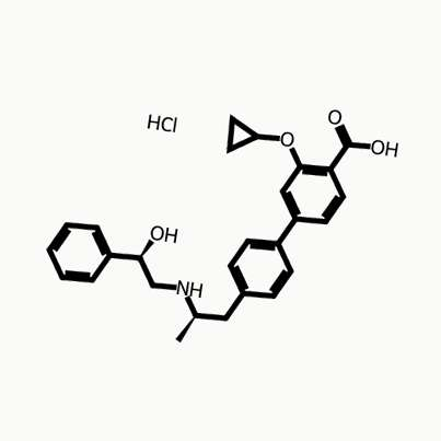 C[C@H](Cc1ccc(-c2ccc(C(=O)O)c(OC3CC3)c2)cc1)NC[C@H](O)c1ccccc1.Cl